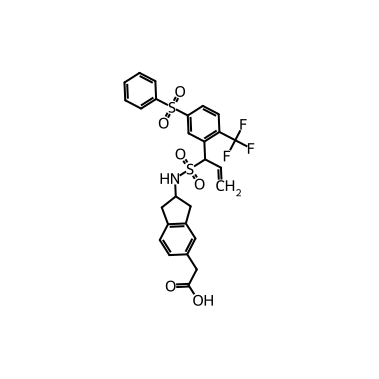 C=CC(c1cc(S(=O)(=O)c2ccccc2)ccc1C(F)(F)F)S(=O)(=O)NC1Cc2ccc(CC(=O)O)cc2C1